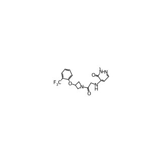 Cn1nccc(NCC(=O)N2CC(Oc3ccccc3C(F)(F)F)C2)c1=O